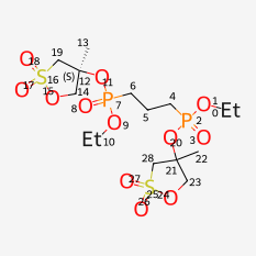 CCOP(=O)(CCCP(=O)(OCC)O[C@@]1(C)COS(=O)(=O)C1)OC1(C)COS(=O)(=O)C1